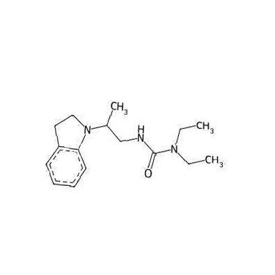 CCN(CC)C(=O)NCC(C)N1CCc2ccccc21